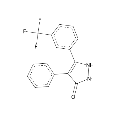 O=C1[N]NC(c2cccc(C(F)(F)F)c2)=C1c1ccccc1